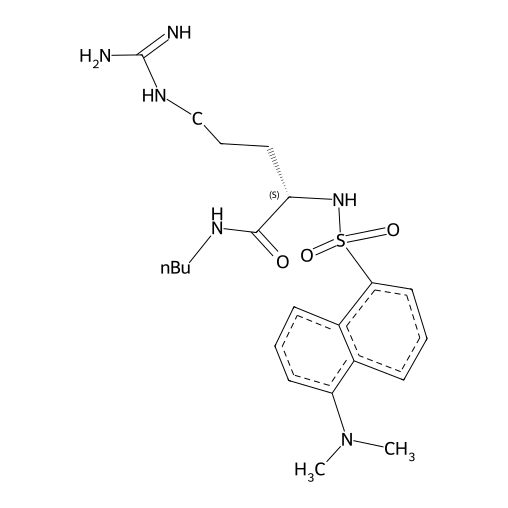 CCCCNC(=O)[C@H](CCCNC(=N)N)NS(=O)(=O)c1cccc2c(N(C)C)cccc12